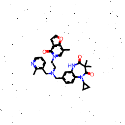 Cc1ncccc1CN(CCn1cc(C)c2occc2c1=O)Cc1ccc2c(c1)NC(=O)C(C)(C)C(=O)N2C1CC1